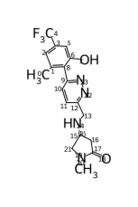 Cc1cc(C(F)(F)F)cc(O)c1-c1ccc(CN[C@@H]2CC(=O)N(C)C2)nn1